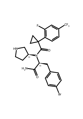 NC(=O)[C@H](Cc1ccc(Br)cc1)N(C(=O)C1(c2ccc(C(F)(F)F)cc2F)CC1)[C@H]1CCNC1